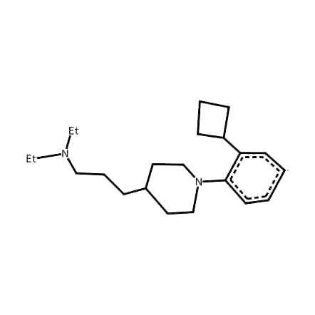 CCN(CC)CCCC1CCN(c2cc[c]cc2C2CCC2)CC1